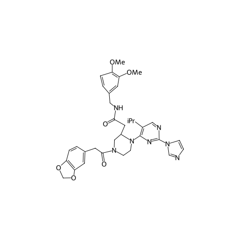 COc1ccc(CNC(=O)CC2CN(C(=O)Cc3ccc4c(c3)OCO4)CCN2c2nc(-n3ccnc3)ncc2C(C)C)cc1OC